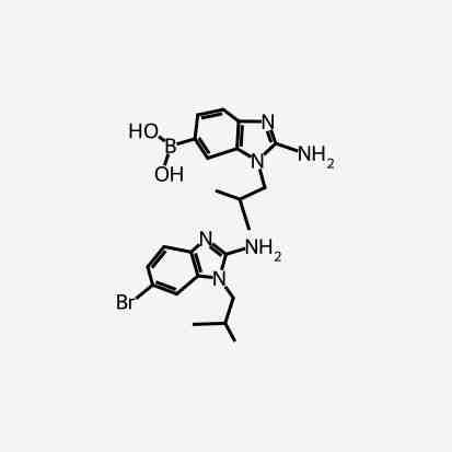 CC(C)Cn1c(N)nc2ccc(B(O)O)cc21.CC(C)Cn1c(N)nc2ccc(Br)cc21